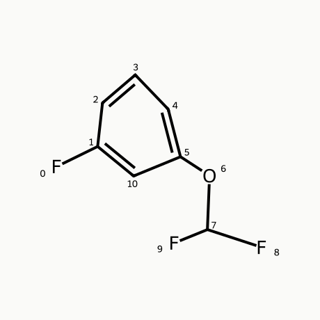 Fc1cccc(OC(F)F)c1